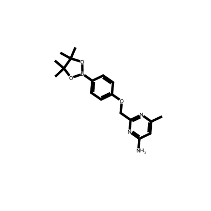 Cc1cc(N)nc(COc2ccc(B3OC(C)(C)C(C)(C)O3)cc2)n1